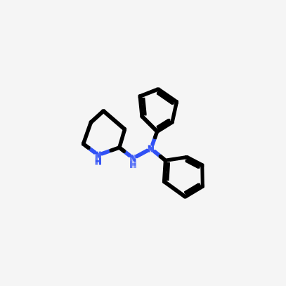 c1ccc(N(NC2CCCCN2)c2ccccc2)cc1